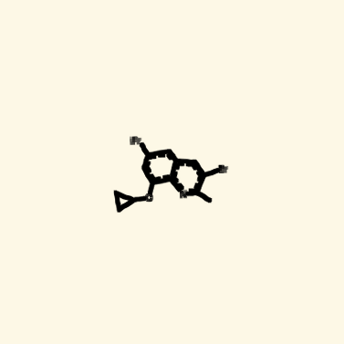 Cc1nc2c(OC3CC3)cc(C(C)C)cc2cc1Br